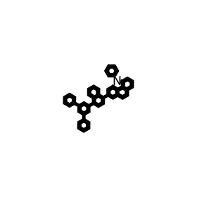 c1ccc(-c2cc(-c3ccccc3)cc(-c3ccc(-c4cc5ccc6cccc7c6c5c(c4)n7-c4ccccc4)c4ccccc34)c2)cc1